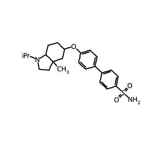 CC(C)N1CCC2(C)CC(Oc3ccc(-c4ccc(S(N)(=O)=O)cc4)cc3)CCC12